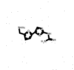 CC(=O)NCc1ccc(-c2csc(NC(=N)N)n2)o1